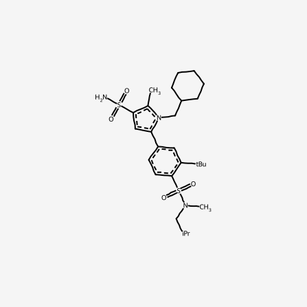 Cc1c(S(N)(=O)=O)cc(-c2ccc(S(=O)(=O)N(C)CC(C)C)c(C(C)(C)C)c2)n1CC1CCCCC1